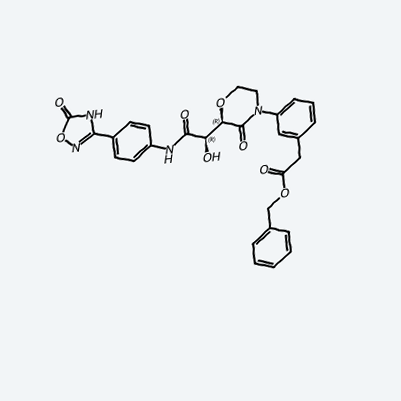 O=C(Cc1cccc(N2CCO[C@H]([C@@H](O)C(=O)Nc3ccc(-c4noc(=O)[nH]4)cc3)C2=O)c1)OCc1ccccc1